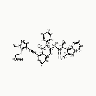 COCCc1c(C#Cc2cccc3cc([C@H](C)NC(=O)c4c(N)nn5cccnc45)n(-c4ccccc4)c(=O)c23)cnn1C